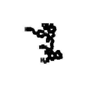 CCCCc1nc2c(N)nc3ccccc3c2n1CCCN(Cc1cccc(CC(=O)O)c1)C(=O)CN1CCN(CCO)CC1